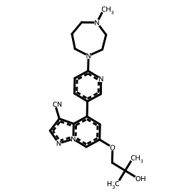 CN1CCCN(c2ccc(-c3cc(OCC(C)(C)O)cn4ncc(C#N)c34)cn2)CC1